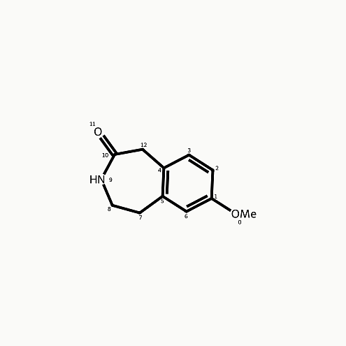 COc1ccc2c(c1)CCNC(=O)C2